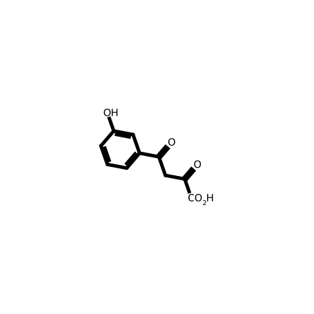 O=C(O)C(=O)CC(=O)c1cccc(O)c1